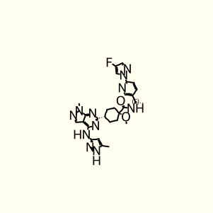 CO[C@]1(C(=O)N[C@@H](C)c2ccc(-n3cc(F)cn3)nc2)CC[C@@H](c2nc(Nc3cc(C)[nH]n3)c3cnn(C)c3n2)CC1